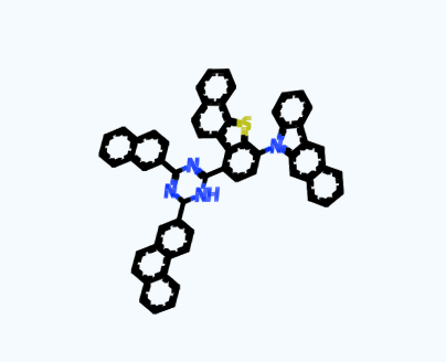 c1ccc2cc(C3=NC(c4ccc5c(ccc6ccccc65)c4)NC(c4ccc(-n5c6ccccc6c6cc7ccccc7cc65)c5sc6c7ccccc7ccc6c45)=N3)ccc2c1